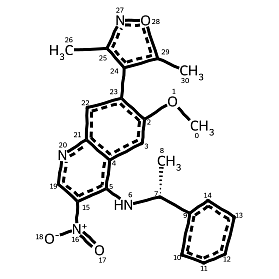 COc1cc2c(N[C@H](C)c3ccccc3)c([N+](=O)[O-])cnc2cc1-c1c(C)noc1C